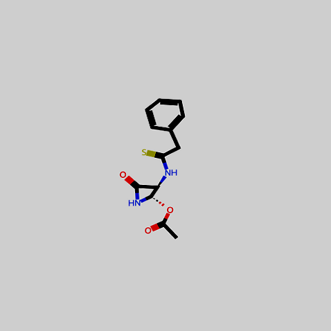 CC(=O)O[C@@H]1NC(=O)[C@H]1NC(=S)Cc1ccccc1